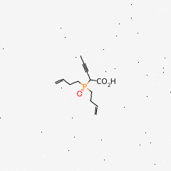 C=CCCP(=O)(CCC=C)C(C#CC)C(=O)O